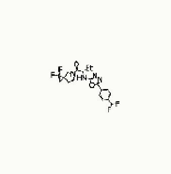 CC[C@H](Nc1nnc(-c2ccc(C(F)F)cc2)o1)C(=O)N1CC[C@@]2(C1)CC2(F)F